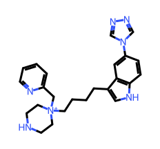 c1ccc(C[N+]2(CCCCc3c[nH]c4ccc(-n5cnnc5)cc34)CCNCC2)nc1